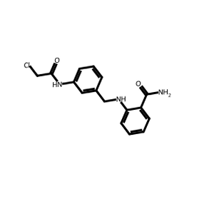 NC(=O)c1ccccc1NCc1cccc(NC(=O)CCl)c1